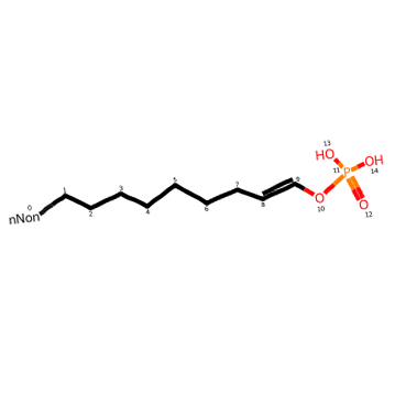 CCCCCCCCCCCCCCCCC=COP(=O)(O)O